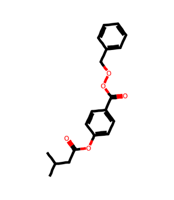 CC(C)CC(=O)Oc1ccc(C(=O)OOCc2ccccc2)cc1